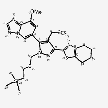 COc1cc(-c2c(CC(F)(F)F)c(-c3nc4c(s3)C[CH]CC4)nn2COCC[Si](C)(C)C)cn2ncnc12